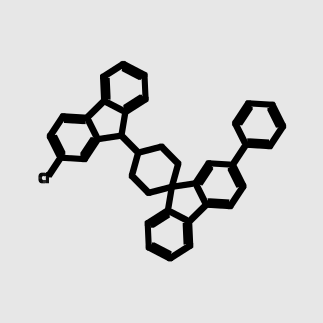 Clc1ccc2c(c1)C(C1CCC3(CC1)c1ccccc1-c1ccc(-c4ccccc4)cc13)c1ccccc1-2